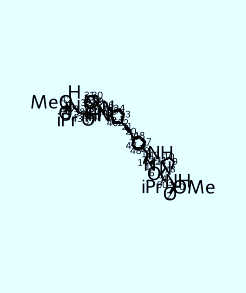 COC(=O)N[C@H](C(=O)N1CCC[C@H]1c1ncc(-c2ccc(C#Cc3ccc4nc([C@@H]5C6CCC(CC6)N5C(=O)[C@@H](NC(=O)OC)C(C)C)[nH]c4c3)cc2)[nH]1)C(C)C